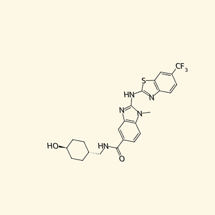 Cn1c(Nc2nc3ccc(C(F)(F)F)cc3s2)nc2cc(C(=O)NC[C@H]3CC[C@H](O)CC3)ccc21